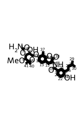 CO[C@@H]1C(OC(N)=O)C(O)[C@H](Oc2ccc3cc(NC(=O)c4ccc(O)c(CC=C(C)C)c4)c(=O)oc3c2C)OC1(C)C